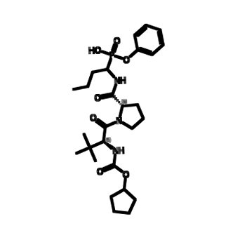 CCCC(NC(=O)[C@@H]1CCCN1C(=O)[C@@H](NC(=O)OC1CCCC1)C(C)(C)C)P(=O)(O)Oc1ccccc1